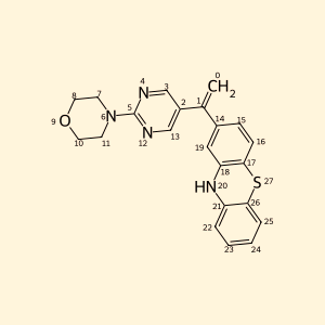 C=C(c1cnc(N2CCOCC2)nc1)c1ccc2c(c1)Nc1ccccc1S2